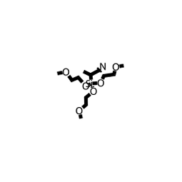 COCCO[Si](OCCOC)(OCCOC)C(C)C#N